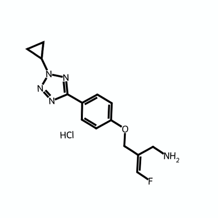 Cl.NC/C(=C\F)COc1ccc(-c2nnn(C3CC3)n2)cc1